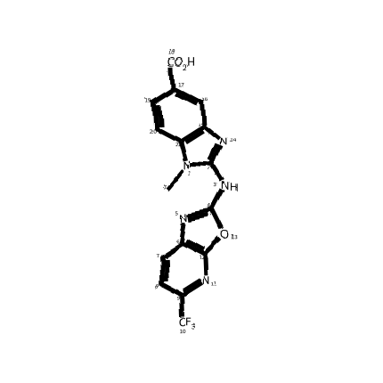 Cn1c(Nc2nc3ccc(C(F)(F)F)nc3o2)nc2cc(C(=O)O)ccc21